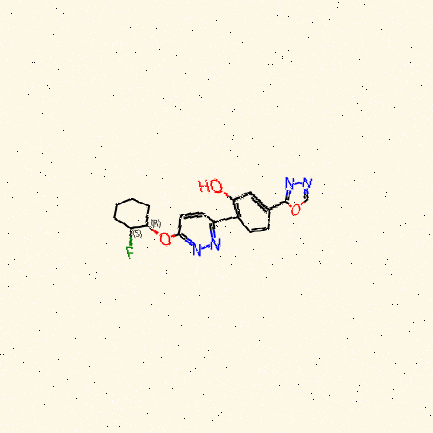 Oc1cc(-c2nnco2)ccc1-c1ccc(O[C@@H]2CCCC[C@@H]2F)nn1